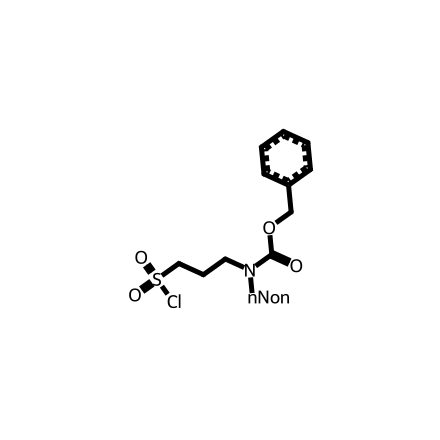 CCCCCCCCCN(CCCS(=O)(=O)Cl)C(=O)OCc1ccccc1